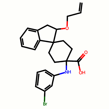 C=CCOC1Cc2ccccc2C12CCC(Nc1cccc(Br)c1)(C(=O)O)CC2